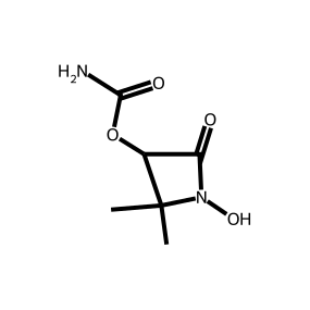 CC1(C)C(OC(N)=O)C(=O)N1O